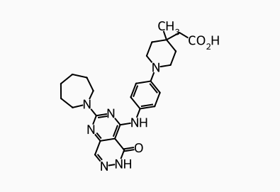 CC1(CC(=O)O)CCN(c2ccc(Nc3nc(N4CCCCCC4)nc4cn[nH]c(=O)c34)cc2)CC1